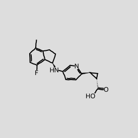 Cc1ccc(F)c2c1CC[C@H]2Nc1ccc([C@H]2C[C@@H]2C(=O)O)nc1